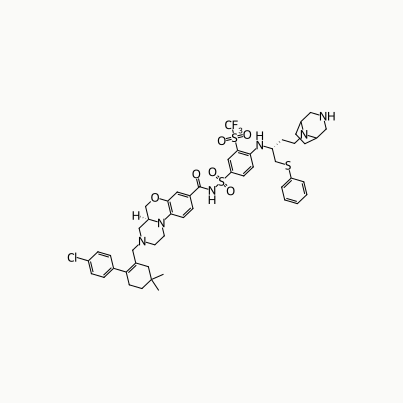 CC1(C)CCC(c2ccc(Cl)cc2)=C(CN2CCN3c4ccc(C(=O)NS(=O)(=O)c5ccc(N[C@H](CCN6C7CCC6CNC7)CSc6ccccc6)c(S(=O)(=O)C(F)(F)F)c5)cc4OC[C@@H]3C2)C1